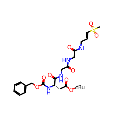 CC(C)(C)OC(=O)C[C@H](NC(=O)OCc1ccccc1)C(=O)NCC(=O)NCC(=O)NC/C=C/S(C)(=O)=O